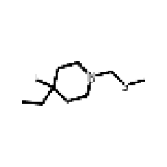 CCC1(I)CCN(CSC)CC1